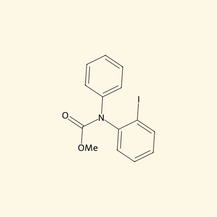 COC(=O)N(c1ccccc1)c1ccccc1I